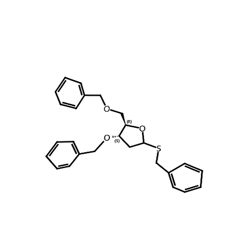 c1ccc(COC[C@H]2OC(SCc3ccccc3)C[C@@H]2OCc2ccccc2)cc1